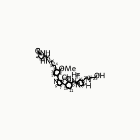 COc1cc(-c2nccc(-c3cccc(Nc4nccc(CNCCO)c4F)c3Cl)c2Cl)ccc1CCCNC[C@H]1CCC(=O)N1